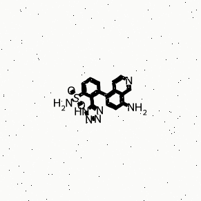 Nc1ccc(-c2cccc(S(N)(=O)=O)c2-c2nnn[nH]2)c2ccncc12